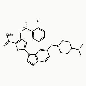 COC(=O)c1sc(-n2cnc3ccc(CN4CCC(N(C)C)CC4)cc32)cc1O[C@H](C)c1ccccc1Cl